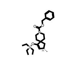 CC[Si](CC)(CC)OC1=C[C@@H](C)CC12CCN(C(=O)OCc1ccccc1)CC2